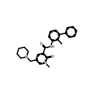 Cc1c(NC(=O)c2cc(CN3CCCCC3)cn(C)c2=O)cccc1-c1ccccc1